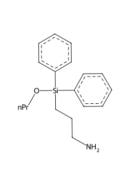 CCCO[Si](CCCN)(c1ccccc1)c1ccccc1